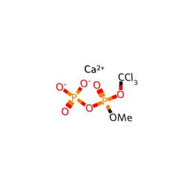 COP(=O)(OC(Cl)(Cl)Cl)OP(=O)([O-])[O-].[Ca+2]